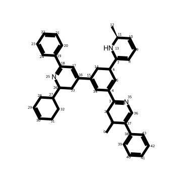 CC1CC(C2=CC(C3=CC=C[C@H](C)N3)CC(C3=CC(c4ccccc4)=NC(C4CC=CCC4)C3)=C2)=NC=C1c1ccccc1